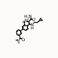 CN(C)C(=O)c1cccc(-c2ccc3c(NCCC4CC4)c(C(N)=O)nnc3c2)c1